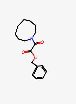 O=C(OCc1ccccc1)C(=O)N1CCCCCCCC1